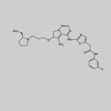 CC1=C2C(Nc3ncc(CC(=O)Nc4cccc(F)c4)s3)=NC=NN2CC1OCCCN1CCC[C@H]1CO